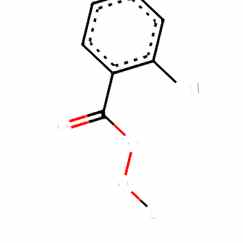 [CH2]COOC(=O)c1ccccc1C